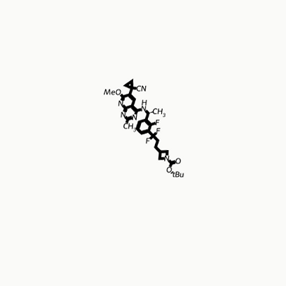 COc1nc2nc(C)nc(N[C@H](C)c3cccc(C(F)(F)CCC4CN(C(=O)OC(C)(C)C)C4)c3F)c2cc1C1(C#N)CC1